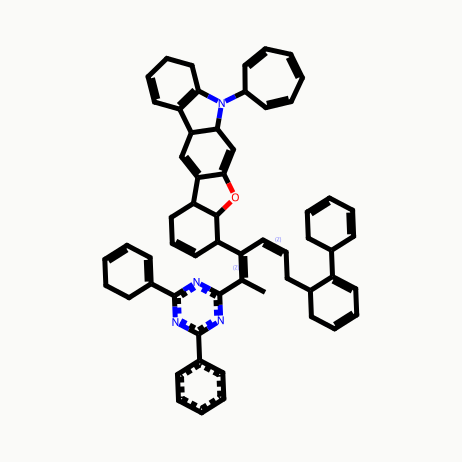 C/C(=C(\C=C/CC1CC=CC=C1C1C=CC=CC1)C1C=CCC2C3=CC4C5=C(CCC=C5)N(C5C=CC=CC=C5)C4C=C3OC21)c1nc(C2=CC=CCC2)nc(-c2ccccc2)n1